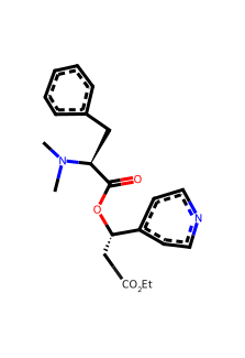 CCOC(=O)C[C@H](OC(=O)[C@H](Cc1ccccc1)N(C)C)c1ccncc1